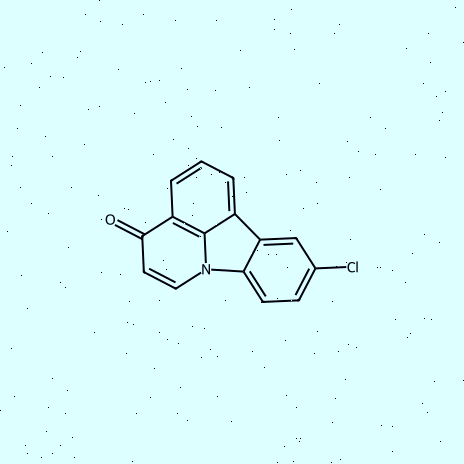 O=c1ccn2c3ccc(Cl)cc3c3cccc1c32